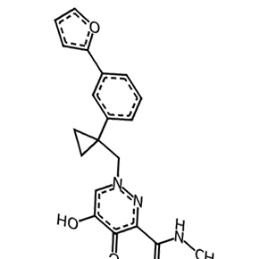 CNC(=O)c1nn(CC2(c3cccc(-c4ccco4)c3)CC2)cc(O)c1=O